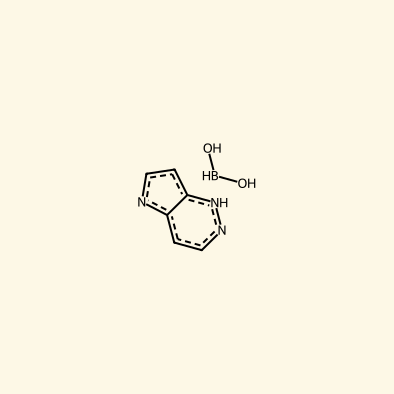 OBO.c1cc2nccc-2[nH]n1